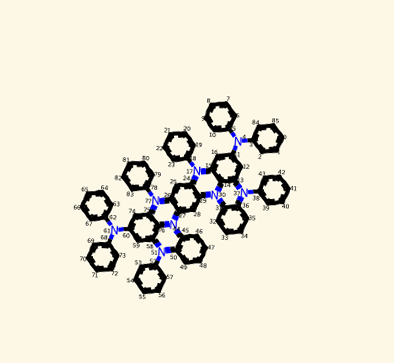 c1ccc(N(c2ccccc2)c2cc3c4c(c2)n(-c2ccccc2)c2cc5c(cc2n4c2ccccc2n3-c2ccccc2)n2c3ccccc3n(-c3ccccc3)c3cc(N(c4ccccc4)c4ccccc4)cc(c32)n5-c2ccccc2)cc1